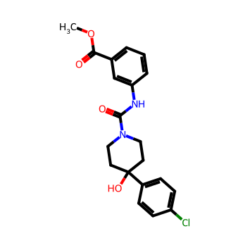 COC(=O)c1cccc(NC(=O)N2CCC(O)(c3ccc(Cl)cc3)CC2)c1